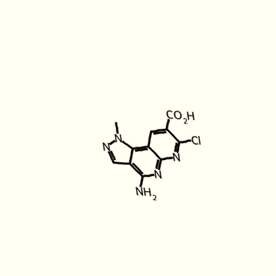 Cn1ncc2c(N)nc3nc(Cl)c(C(=O)O)cc3c21